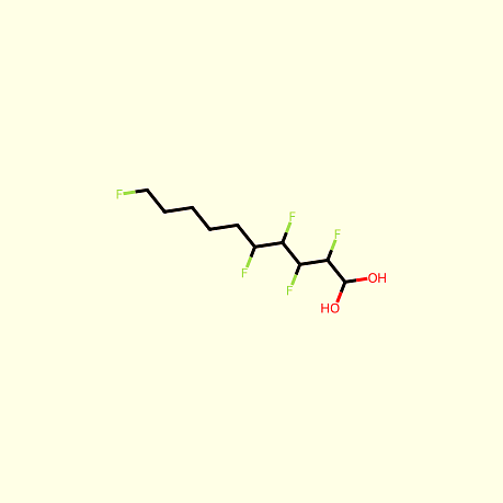 OC(O)C(F)C(F)C(F)C(F)CCCCCF